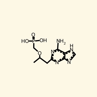 CC(Cc1nc(N)c2[nH]cnc2n1)OCP(=O)(O)O